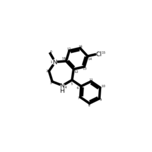 CN1CCNC(c2ccccc2)c2cc(Cl)ccc21